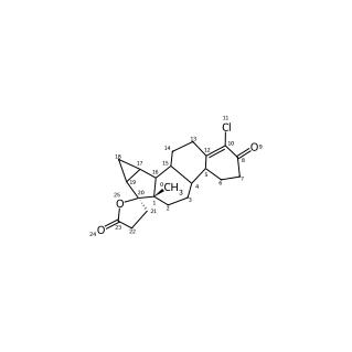 C[C@]12CCC3C4CCC(=O)C(Cl)=C4CCC3C1C1CC1[C@@]21CCC(=O)O1